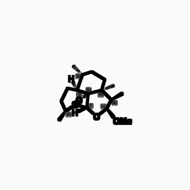 CO[C@H]1O[C@@H]2O[C@@]3(C)CC[C@H]4[C@H](C)CC[C@@](C)([C@H]1C)[C@@]24OO3